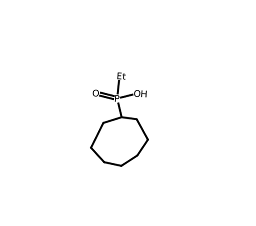 CCP(=O)(O)C1CCCCCCC1